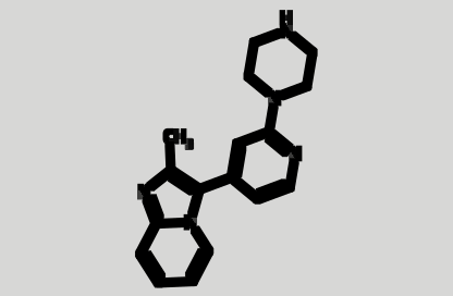 Cc1nc2ccccn2c1-c1ccnc(N2CCNCC2)c1